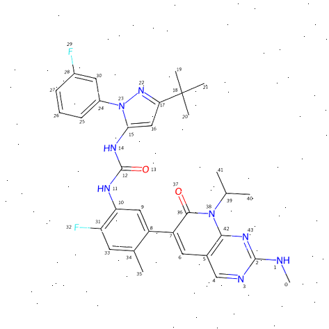 CNc1ncc2cc(-c3cc(NC(=O)Nc4cc(C(C)(C)C)nn4-c4cccc(F)c4)c(F)cc3C)c(=O)n(C(C)C)c2n1